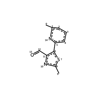 Cc1cccc(-c2sc(C)nc2C=O)n1